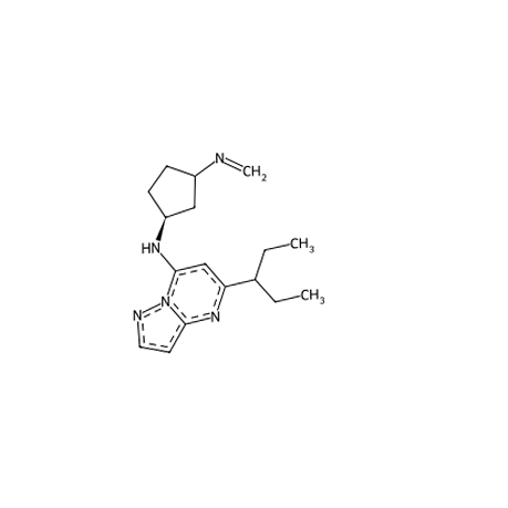 C=NC1CC[C@H](Nc2cc(C(CC)CC)nc3ccnn23)C1